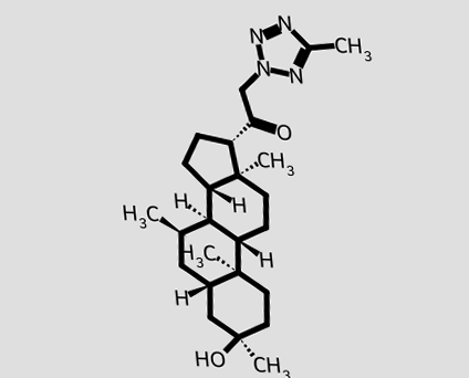 Cc1nnn(CC(=O)[C@H]2CC[C@H]3[C@@H]4[C@H](C)C[C@H]5C[C@](C)(O)CC[C@]5(C)[C@H]4CC[C@]23C)n1